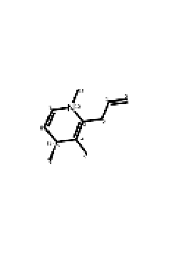 C=CCC1=C(C)[C@@H](C)C=CN1C